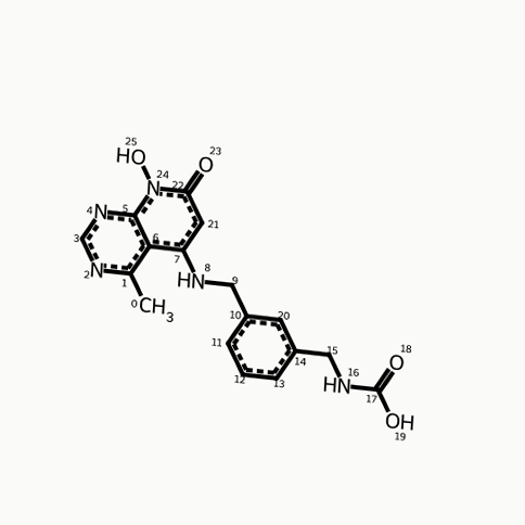 Cc1ncnc2c1c(NCc1cccc(CNC(=O)O)c1)cc(=O)n2O